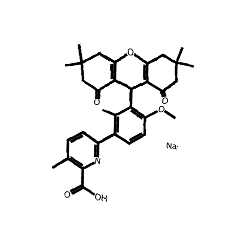 COc1ccc(-c2ccc(C)c(C(=O)O)n2)c(C)c1C1C2=C(CC(C)(C)CC2=O)OC2=C1C(=O)CC(C)(C)C2.[Na]